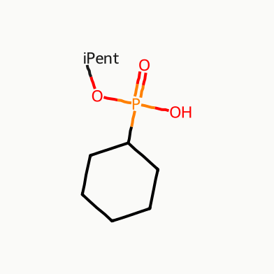 CCCC(C)OP(=O)(O)C1CCCCC1